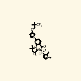 Cc1c(S(=O)(=O)NC(=O)c2ccc(-n3ccc(OCC(C)(C)C(F)(F)F)c3)nc2N2C[C@@H](C)CC2(C)C)ccn1C